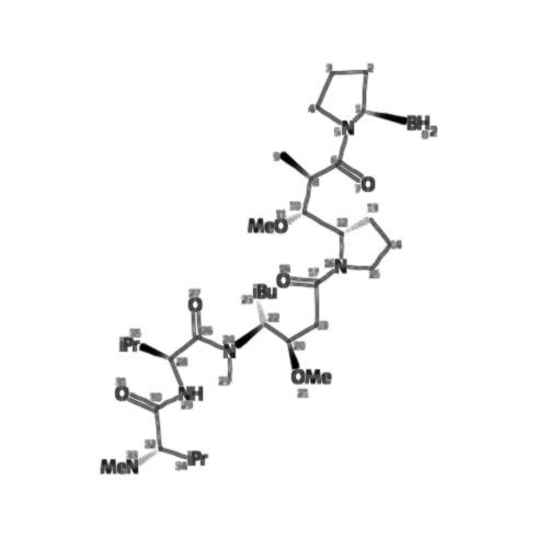 B[C@@H]1CCCN1C(=O)[C@H](C)[C@@H](OC)[C@@H]1CCCN1C(=O)C[C@@H](OC)[C@H]([C@@H](C)CC)N(C)C(=O)[C@@H](NC(=O)[C@@H](NC)C(C)C)C(C)C